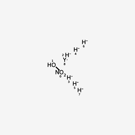 O=[N+]([O-])O.[H-].[H-].[H-].[H-].[H-].[H-].[Y]